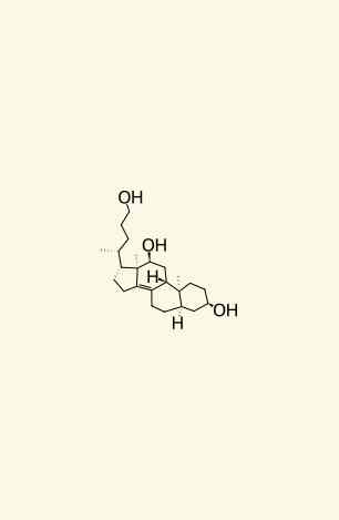 C[C@H](CCCO)[C@H]1CCC2=C3CC[C@@H]4C[C@H](O)CC[C@]4(C)[C@H]3C[C@H](O)[C@@]21C